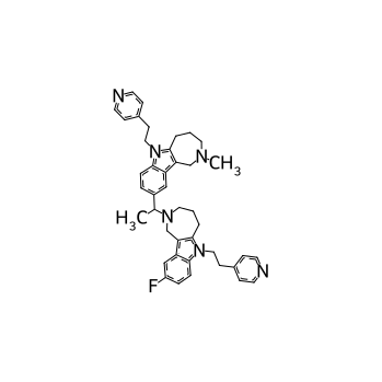 CC(c1ccc2c(c1)c1c(n2CCc2ccncc2)CCCN(C)C1)N1CCCc2c(c3cc(F)ccc3n2CCc2ccncc2)C1